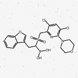 O=S(=O)(Cc1nc(N2CCOCC2)c(Cl)cc1Cl)C(Cc1coc2ccccc12)B(O)O